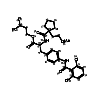 CCN(CC)CCOC(=O)[C@H](Cc1ccc(NC(=O)c2c(Cl)cccc2Cl)cc1)NC(=O)C1(CCOC)CCCC1